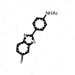 CC(=O)Nc1ccc(-c2nc3ccc(F)cc3s2)cc1